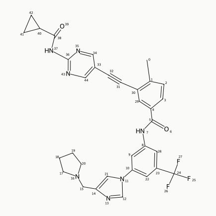 Cc1ccc(C(=O)Nc2cc(-n3cnc(CN4CCCC4)c3)cc(C(F)(F)F)c2)cc1C#Cc1cnc(NC(=O)C2CC2)nc1